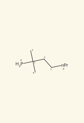 CCCCCC(C)(C)P